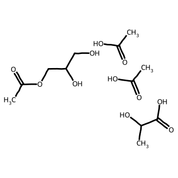 CC(=O)O.CC(=O)O.CC(=O)OCC(O)CO.CC(O)C(=O)O